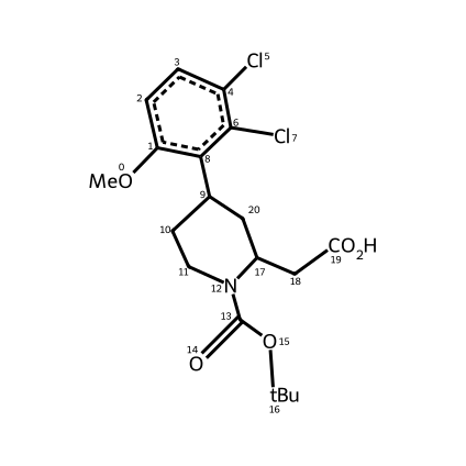 COc1ccc(Cl)c(Cl)c1C1CCN(C(=O)OC(C)(C)C)C(CC(=O)O)C1